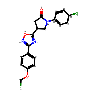 O=C1CC(c2nc(-c3ccc(OCF)cc3)no2)CN1C1=CCC(Cl)C=C1